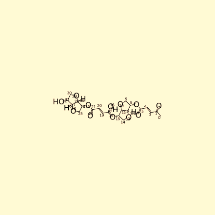 CC(=O)C=CC(=O)O[C@@H]1CO[C@H]2[C@@H]1OC[C@H]2OC(=O)C=CC(=O)O[C@H]1CO[C@H]2[C@@H]1OC[C@H]2O